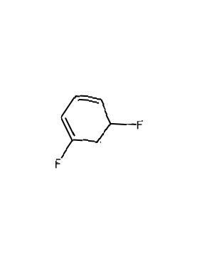 FC1=CC=CC(F)[CH]1